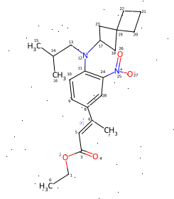 CCOC(=O)/C=C(\C)c1ccc(N(CC(C)C)C2CC3(CCC3)C2)c([N+](=O)[O-])c1